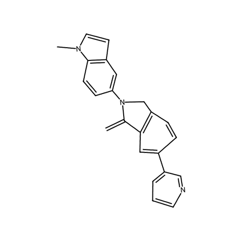 C=C1c2cc(-c3cccnc3)ccc2CN1c1ccc2c(ccn2C)c1